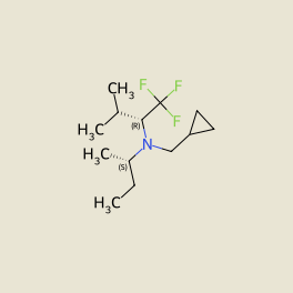 CC[C@H](C)N(CC1CC1)[C@H](C(C)C)C(F)(F)F